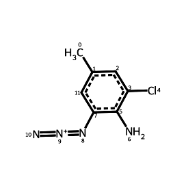 Cc1cc(Cl)c(N)c(N=[N+]=[N-])c1